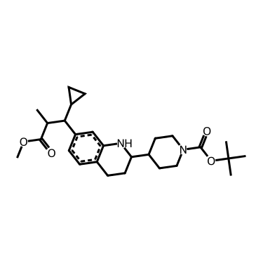 COC(=O)C(C)C(c1ccc2c(c1)NC(C1CCN(C(=O)OC(C)(C)C)CC1)CC2)C1CC1